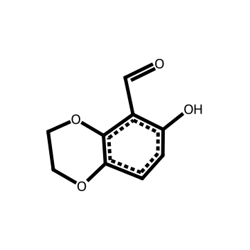 O=Cc1c(O)ccc2c1OCCO2